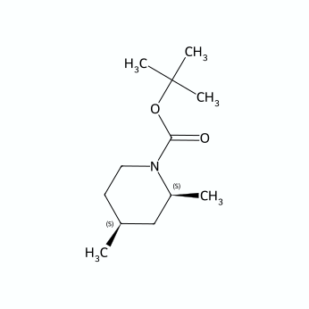 C[C@H]1CCN(C(=O)OC(C)(C)C)[C@@H](C)C1